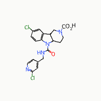 O=C(O)N1CCC2C(C1)c1cc(Cl)ccc1N2C(=O)NCc1ccnc(Cl)c1